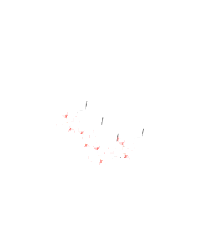 C=CCOS(=O)(=O)[O-].C=CCOS(=O)(=O)[O-].C=CCOS(=O)(=O)[O-].C=CCOS(=O)(=O)[O-].[C+4]